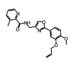 C=CCOc1cc(-c2nc(CNC(=O)c3ncccc3C)co2)ccc1OC